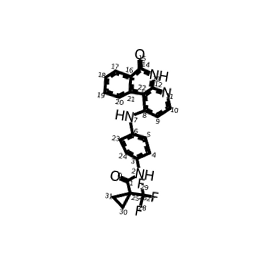 O=C(Nc1ccc(Nc2ccnc3[nH]c(=O)c4ccccc4c23)cc1)C1(C(F)(F)F)CC1